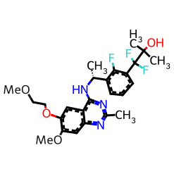 COCCOc1cc2c(N[C@H](C)c3cccc(C(F)(F)C(C)(C)O)c3F)nc(C)nc2cc1OC